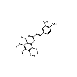 CC(=O)Oc1ccc(C=CC(=O)Oc2c(SF)c(SF)c(SF)c(SF)c2SF)cc1OC(C)=O